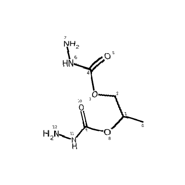 CC(COC(=O)NN)OC(=O)NN